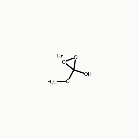 COC1(O)OO1.[La]